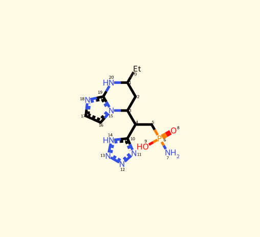 CCC1CC(C(CP(N)(=O)O)c2nnn[nH]2)n2ccnc2N1